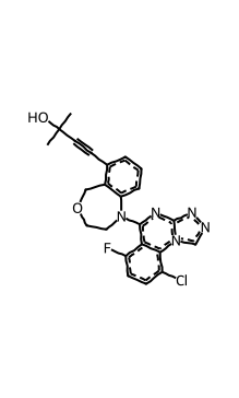 CC(C)(O)C#Cc1cccc2c1COCCN2c1nc2nncn2c2c(Cl)ccc(F)c12